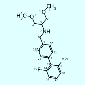 COCC(COC)NCc1ccc(-c2c(F)cccc2F)cn1